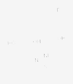 Oc1ccc(C2C(CCCC(O)c3ccc(F)cc3)NC(=S)N2c2ccccc2)c(O)c1